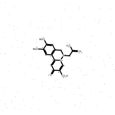 C=C(C)CN1Cc2cc(OC)c(OC)cc2-c2cc(=O)c(C(=O)O)cn21